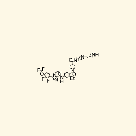 CCc1cc(Nc2nccn3c(-c4ccc(OC(F)F)c(F)c4F)cnc23)ccc1C(=O)N1CCC(C(=O)N2CC3(CN(CCC4CNC4)C3)C2)CC1